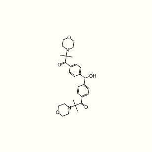 CC(C)(C(=O)c1ccc(C(O)c2ccc(C(=O)C(C)(C)N3CCOCC3)cc2)cc1)N1CCOCC1